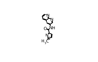 Cn1ccc(C(=O)Nc2cnc3ncccc3c2)n1